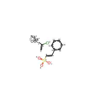 C=C(Cl)C(=O)[O-].O=S(=O)([O-])C=Cc1ccccc1.[Na+].[Na+]